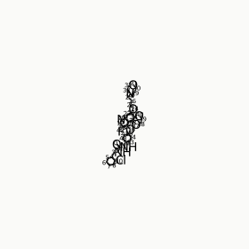 O=C(NCc1ccccc1Cl)Nc1ccc(Oc2ccnc3cc(OCCCN4CCOCC4)c4c(c23)OCCO4)c(F)c1